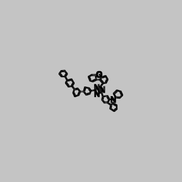 c1ccc(-c2ccc(-c3cccc(-c4ccc(-c5nc(-c6ccc7c8ccccc8n(-c8ccccc8)c7c6)nc(-c6cccc7oc8ccccc8c67)n5)cc4)c3)cc2)cc1